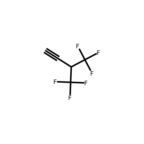 C#CC(C(F)(F)F)C(F)(F)F